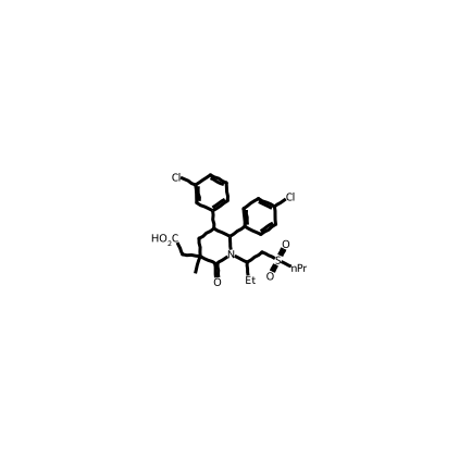 CCCS(=O)(=O)CC(CC)N1C(=O)C(C)(CC(=O)O)CC(c2cccc(Cl)c2)C1c1ccc(Cl)cc1